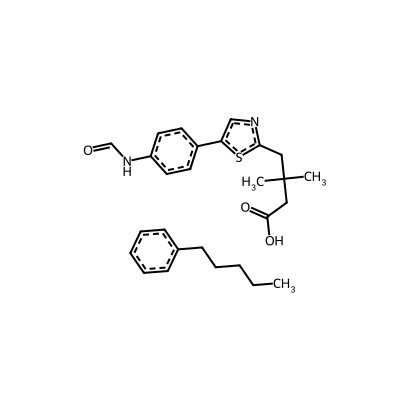 CC(C)(CC(=O)O)Cc1ncc(-c2ccc(NC=O)cc2)s1.CCCCCc1ccccc1